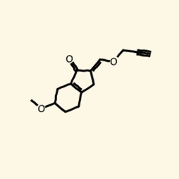 C#CCO/C=C1\CC2=C(CC(OC)CC2)C1=O